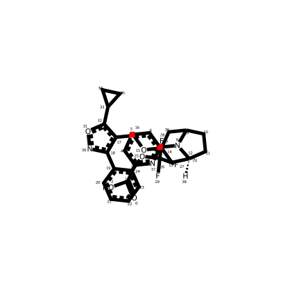 O=C(O)c1cncc(N2C3CC[C@H]2CC(OCc2c(-c4ccccc4OC(F)(F)F)noc2C2CC2)C3)n1